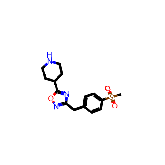 CS(=O)(=O)c1ccc(Cc2noc(C3CCNCC3)n2)cc1